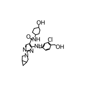 O=C(NC1CCC(O)CC1)c1cnc(N2CC3CC3C2)nc1NCc1ccc(CO)c(Cl)c1